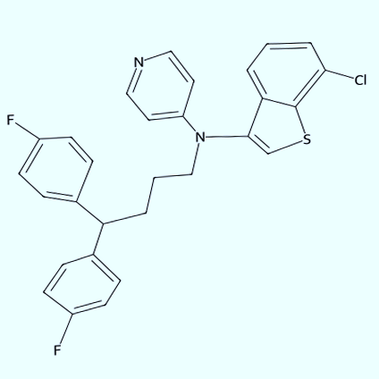 Fc1ccc(C(CCCN(c2ccncc2)c2csc3c(Cl)cccc23)c2ccc(F)cc2)cc1